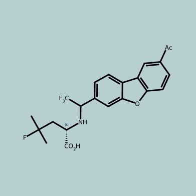 CC(=O)c1ccc2oc3cc(C(N[C@@H](CC(C)(C)F)C(=O)O)C(F)(F)F)ccc3c2c1